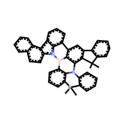 CC1(C)c2ccccc2-c2cc3c4c(c21)N1c2ccccc2[Si](C)(C)c2cccc(c21)B4n1c2ccc4ccccc4c2c2cccc-3c21